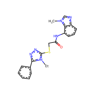 CCn1c(SCC(=O)Nc2cccc3ncn(C)c23)nnc1-c1ccccc1